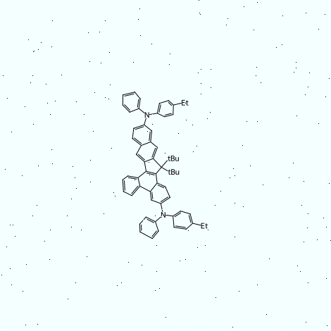 CCc1ccc(N(c2ccccc2)c2ccc3cc4c(cc3c2)C(C(C)(C)C)(C(C)(C)C)c2c-4c3ccccc3c3cc(N(c4ccccc4)c4ccc(CC)cc4)ccc23)cc1